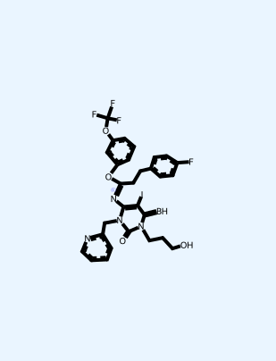 B=C1C(I)=C(/N=C(\CCc2ccc(F)cc2)Oc2cccc(OC(F)(F)F)c2)N(Cc2ccccn2)C(=O)N1CCCO